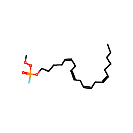 CCCCC/C=C\C/C=C\C/C=C\C/C=C\CCCCOP(=O)(F)OOC